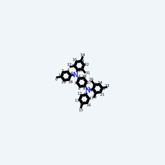 Cc1ccc(N(c2ccc(N(c3ccc(C)cc3)c3c(C)cc(C)cc3C)cc2)c2c(C)cc(C)cc2C)cc1